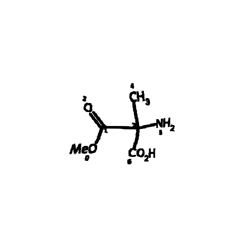 COC(=O)C(C)(N)C(=O)O